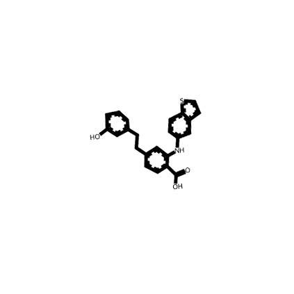 O=C(O)c1ccc(CCc2cccc(O)c2)cc1Nc1ccc2sccc2c1